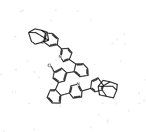 Clc1cc(-c2ccccc2-c2ccc(-c3ccc4c(c3)C3CC5CC(CC4C5)C3)nc2)cc(-c2ccccc2-c2ccc(-c3ccc4c(c3)C3CC5CC(CC4C5)C3)nc2)c1